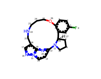 Fc1ccc2c(c1)[C@H]1CCCN1c1ccn3ncc(c3n1)CNCCCO2